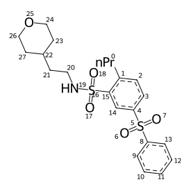 CCCc1ccc(S(=O)(=O)c2ccccc2)cc1S(=O)(=O)NCCC1CCOCC1